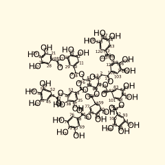 O=C(C[C@@H]1O[C@H](COC(=O)c2cc(O)c(O)c(OC(=O)c3cc(O)c(O)c(O)c3)c2)[C@@H](OC(=O)c2cc(O)c(O)c(OC(=O)c3cc(O)c(O)c(O)c3)c2)[C@H](OC(=O)c2cc(O)c(O)c(OC(=O)c3cc(O)c(O)c(O)c3)c2)[C@H]1OC(=O)c1cc(O)c(O)c(OC(=O)c2cc(O)c(O)c(O)c2)c1)c1cc(O)c(O)c(OC(=O)c2cc(O)c(O)c(O)c2)c1